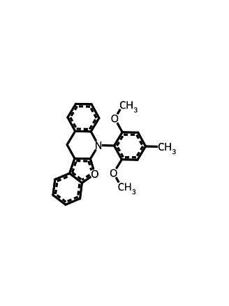 COc1cc(C)cc(OC)c1N1c2ccccc2Cc2c1oc1ccccc21